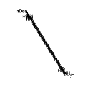 CCCCCCCCCCCCCCCC(=O)N[C@@H](CCC(=O)NCCOCCOCCOCCOCCOCCOCCOCCOCCOCCOCCOCCOCCOCCOCCOCCOCCOCCOCCOCCOCCOCCOCCOCCOCCC(=O)NCCCC[C@H](N)C(=O)O)C(O)O